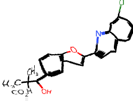 CC(C)(C(=O)O)C(O)c1ccc2oc(-c3ccc4ccc(Cl)cc4n3)cc2c1